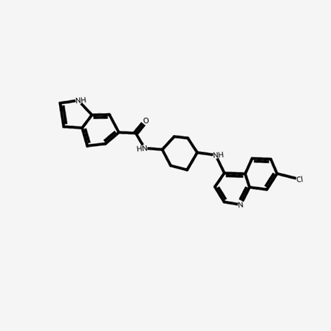 O=C(NC1CCC(Nc2ccnc3cc(Cl)ccc23)CC1)c1ccc2cc[nH]c2c1